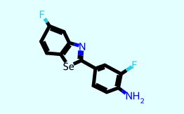 Nc1ccc(-c2nc3cc(F)ccc3[se]2)cc1F